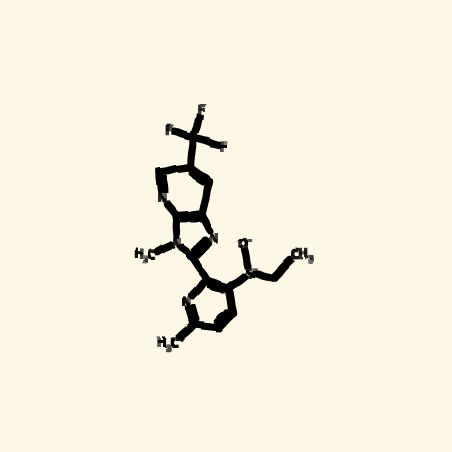 CC[S+]([O-])c1ccc(C)nc1-c1nc2cc(C(F)(F)F)cnc2n1C